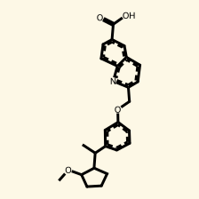 COC1CCCC1C(C)c1cccc(OCc2ccc3cc(C(=O)O)ccc3n2)c1